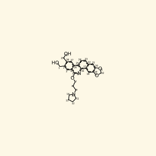 OCc1cc2c(OCCCN3CCCC3)nc3c4cc5c(cc4ccc3c2cc1CO)OCO5